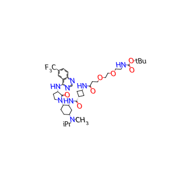 CC(C)N(C)[C@@H]1CC[C@H](N2CC[C@H](Nc3ncnc4ccc(C(F)(F)F)cc34)C2=O)[C@H](NC(=O)[C@H]2C[C@@H](NC(=O)CCOCCOCCNC(=O)OC(C)(C)C)C2)C1